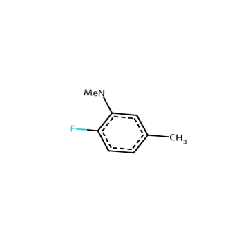 CNc1cc(C)ccc1F